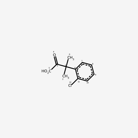 CC(C)(C(=O)C(=O)O)c1ccccc1Cl